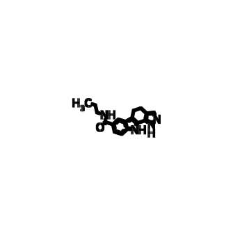 CCCNC(=O)c1ccc2[nH]c3c(c2c1)CCc1cn[nH]c1-3